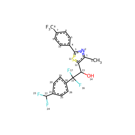 Cc1nc(-c2ccc(C(F)(F)F)cc2)sc1C(O)C(F)(F)c1ccc(C(F)F)cc1